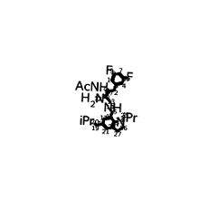 CC(=O)N[C@@H](Cc1cc(F)cc(F)c1)[C@@H](N)CNCc1cc(CC(C)C)cc2c1N(C(C)C)CC2